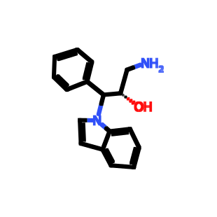 NC[C@H](O)C(c1ccccc1)n1ccc2ccccc21